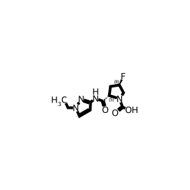 CCn1ccc(NC(=O)[C@@H]2C[C@@H](F)CN2C(=O)O)n1